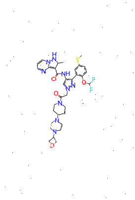 CSc1ccc(OC(F)F)c(-c2nn(CC(=O)N3CCC(N4CCN(C5COC5)CC4)CC3)cc2NC(=O)C2=C3N=CC=CN3NC2C)c1